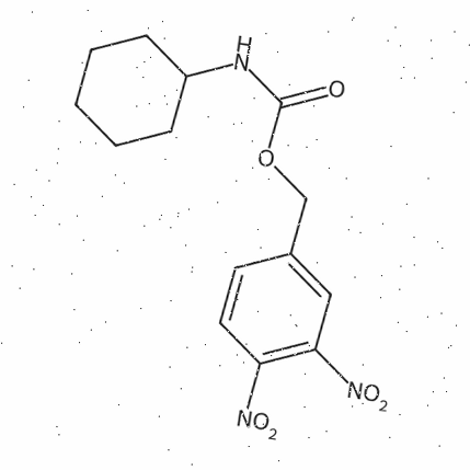 O=C(NC1CCCCC1)OCc1ccc([N+](=O)[O-])c([N+](=O)[O-])c1